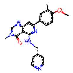 COc1ccc(-c2cc3ncn(C)c(=O)c3c(NCc3ccncc3)n2)cc1C